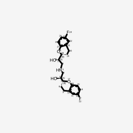 O[C@@H](CNC[C@H](O)[C@H]1CCc2cc(F)ccc2O1)[C@H]1CCc2cc(F)ccc2O1